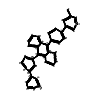 Cc1cncc(-c2ccc(-c3c4ccccc4c(-c4cccc(-c5cccnc5)c4)c4ccccc34)cc2)c1